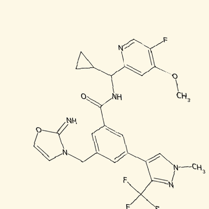 COc1cc(C(NC(=O)c2cc(Cn3ccoc3=N)cc(-c3cn(C)nc3C(F)(F)F)c2)C2CC2)ncc1F